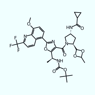 COc1ccc(-c2nc(C(=O)N3C[C@H](NC(=O)C4CC4)C[C@H]3C3OC(C)O3)c([C@H](C)NC(=O)OC(C)(C)C)o2)c2ccc(C(F)(F)F)nc12